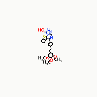 COc1cc(CCc2ccc(C3=NCc4nnc(CO)n4-c4sc5c(c43)CCC5)cc2)cc(OC)c1OC